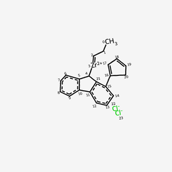 CC[CH]=[Zr+2][CH]1c2ccccc2-c2cccc(C3=CC=CC3)c21.[Cl-].[Cl-]